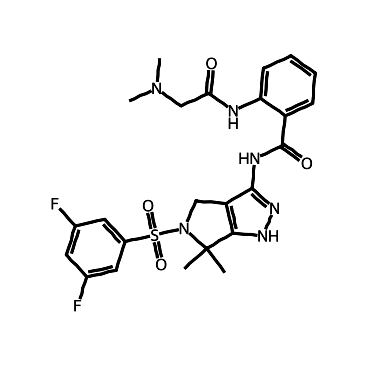 CN(C)CC(=O)Nc1ccccc1C(=O)Nc1n[nH]c2c1CN(S(=O)(=O)c1cc(F)cc(F)c1)C2(C)C